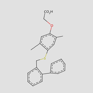 Cc1cc(SCc2ccccc2-c2ccccc2)c(C)cc1OCC(=O)O